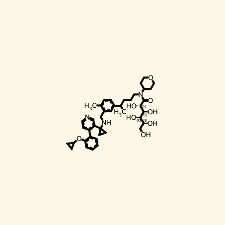 Cc1ccc(C(C)CCCN(C(=O)[C@@H](O)[C@@H](O)[C@H](O)[C@@H](O)CO)C2CCOCC2)cc1CNC1(c2cnccc2-c2ccccc2OC2CC2)CC1